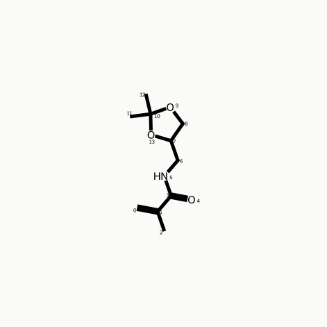 C=C(C)C(=O)NCC1COC(C)(C)O1